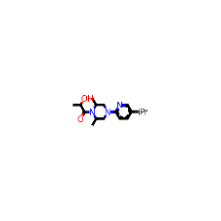 CC(O)C(=O)N1C(C)CN(c2ccc(C(C)C)cn2)CC1C